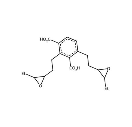 CCC1OC1CCc1ccc(C(=O)O)c(CCC2OC2CC)c1C(=O)O